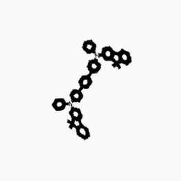 CC1(C)c2ccccc2-c2ccc(N(c3ccccc3)c3ccc(-c4ccc(-c5ccc(N(c6ccccc6)c6ccc7c(c6)C(C)(C)C6C=CC=CC76)cc5)cc4)cc3)cc21